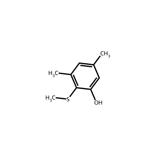 CSc1c(C)cc(C)cc1O